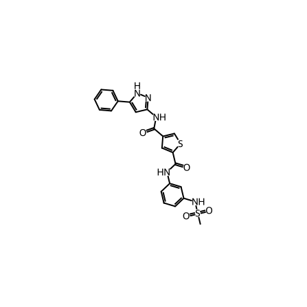 CS(=O)(=O)Nc1cccc(NC(=O)c2cc(C(=O)Nc3cc(-c4ccccc4)[nH]n3)cs2)c1